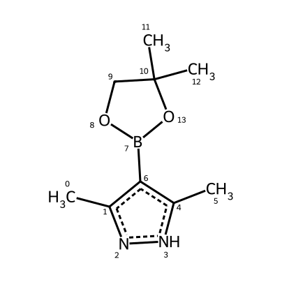 Cc1n[nH]c(C)c1B1OCC(C)(C)O1